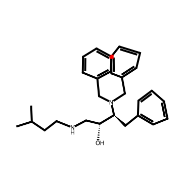 CC(C)CCNC[C@@H](O)[C@H](Cc1ccccc1)N(Cc1ccccc1)Cc1ccccc1